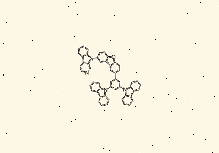 c1ccc2c(c1)c1ccccc1n2-c1cc(-c2ccc3oc4ccc(-n5c6ccccc6c6ccncc65)cc4c3c2)cc(-n2c3ccccc3c3ccccc32)c1